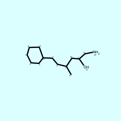 CC(CCC1CCCCC1)CC(O)CN